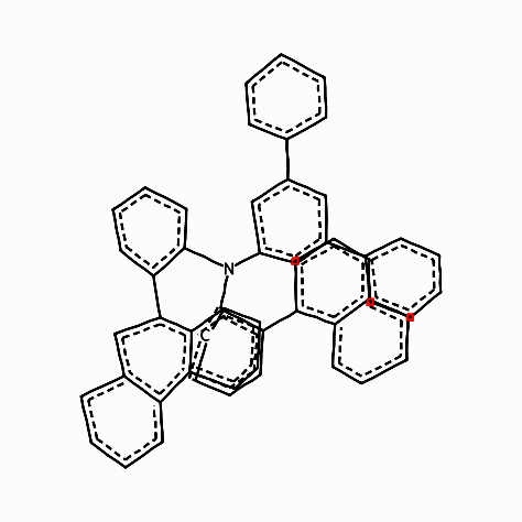 c1ccc(-c2cc(-c3ccccc3)cc(N(c3ccccc3-c3cccc4ccccc34)c3ccccc3-c3cc4ccccc4c4ccccc34)c2)cc1